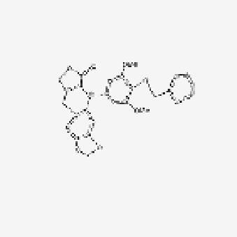 COc1cc([C@H]2C3=C(COC3=O)Cc3cc4c(cc32)OCO4)cc(OC)c1OCc1ccccc1